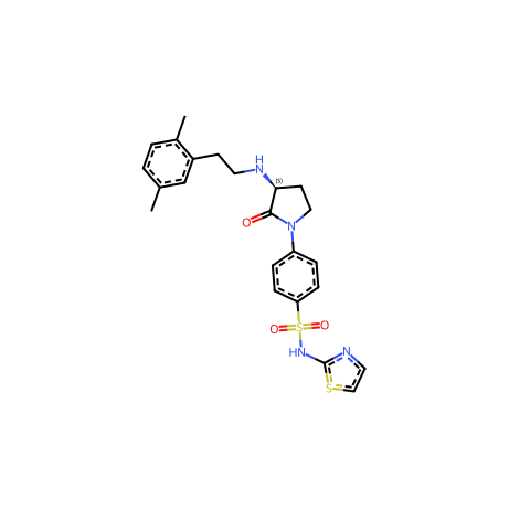 Cc1ccc(C)c(CCN[C@H]2CCN(c3ccc(S(=O)(=O)Nc4nccs4)cc3)C2=O)c1